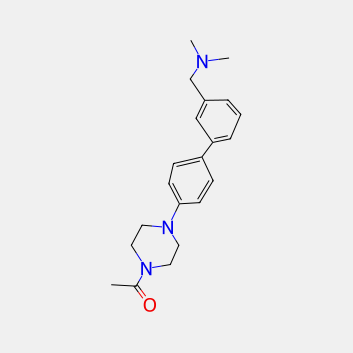 CC(=O)N1CCN(c2ccc(-c3cccc(CN(C)C)c3)cc2)CC1